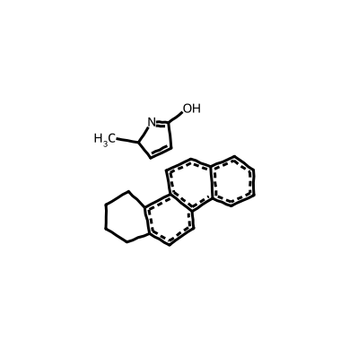 CC1C=CC(O)=N1.c1ccc2c(c1)ccc1c3c(ccc12)CCCC3